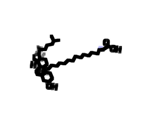 CC(C)CCC[C@@H](C)[C@H]1CC[C@H]2[C@@H]3CC=C4C[C@@H](O)CC[C@]4(C)[C@@]3(CCCCCCCCCCCCC/C=C/C(=O)O)CC[C@]12C